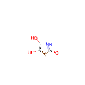 O=c1[nH]c(O)c(O)s1